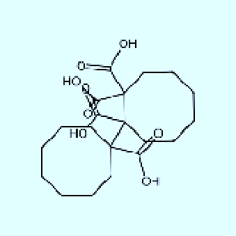 O=C(O)C1(C2(C(=O)O)CCCCCCC2(C(=O)O)C(=O)O)CCCCCCC1